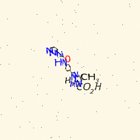 CC(C)(CNC(=O)O)Cn1cc(-c2ccc(NC(=O)C3CN(c4cccnn4)C3)cc2)cn1